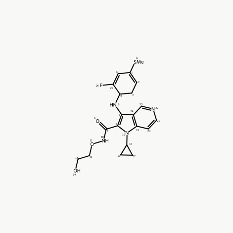 CSC1=CCC(Nc2c(C(=O)NOCCO)n(C3CC3)c3ccncc23)C(F)=C1